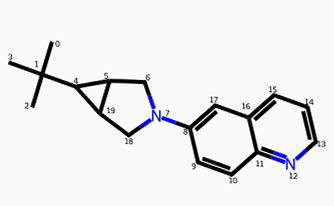 CC(C)(C)C1C2CN(c3ccc4ncccc4c3)CC21